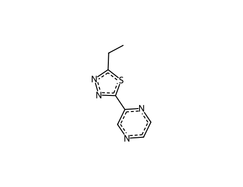 CCc1nnc(-c2cnccn2)s1